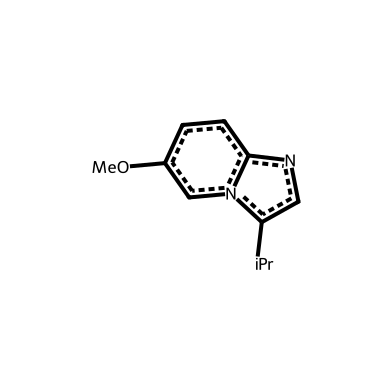 COc1ccc2ncc(C(C)C)n2c1